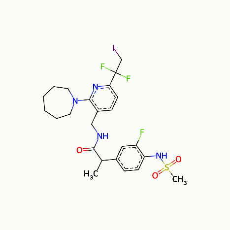 CC(C(=O)NCc1ccc(C(F)(F)CI)nc1N1CCCCCC1)c1ccc(NS(C)(=O)=O)c(F)c1